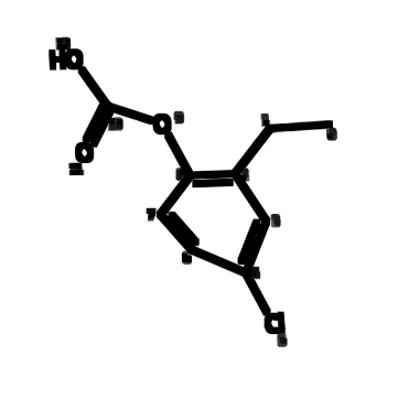 CCc1cc(Cl)ccc1OC(=O)O